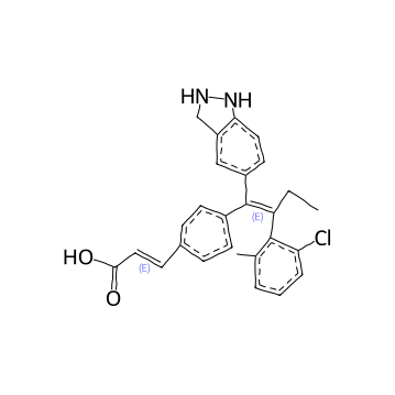 CC/C(=C(/c1ccc(/C=C/C(=O)O)cc1)c1ccc2c(c1)CNN2)c1c(C)cccc1Cl